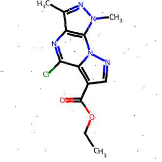 CCOC(=O)c1cnn2c1c(Cl)nc1c(C)nn(C)c12